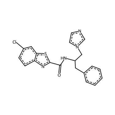 O=C(NC(Cc1ccccc1)Cn1ccnc1)c1nc2ccc(Cl)cc2s1